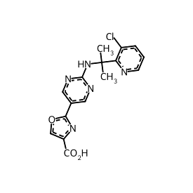 CC(C)(Nc1ncc(-c2nc(C(=O)O)co2)cn1)c1ncccc1Cl